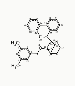 Cc1cc(C)cc(COC2C3CCN(CC3)C2Cc2ccccc2-c2ccccc2Cl)c1